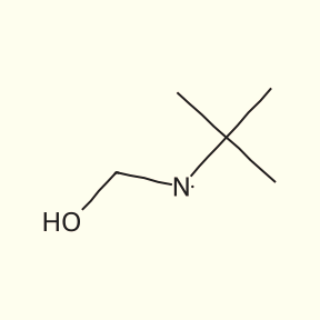 CC(C)(C)[N]CO